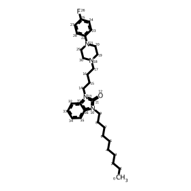 CCCCCCCCCCn1c(=O)n(CCCCN2CCN(c3ccc(F)cc3)CC2)c2ccccc21